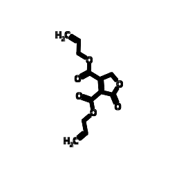 C=CCOC(=O)C1=C(C(=O)OCC=C)C(=O)OC1